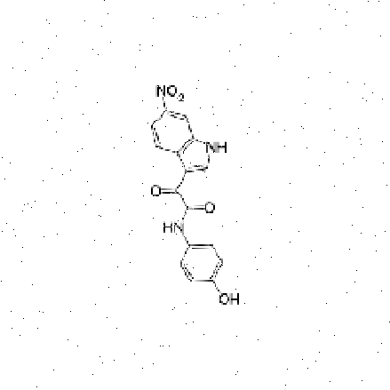 O=C(Nc1ccc(O)cc1)C(=O)c1c[nH]c2cc([N+](=O)[O-])ccc12